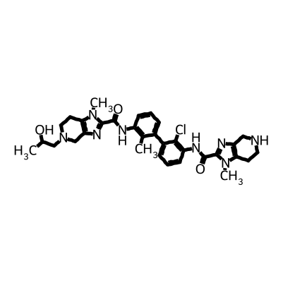 Cc1c(NC(=O)c2nc3c(n2C)CCN(CC(C)O)C3)cccc1-c1cccc(NC(=O)c2nc3c(n2C)CCNC3)c1Cl